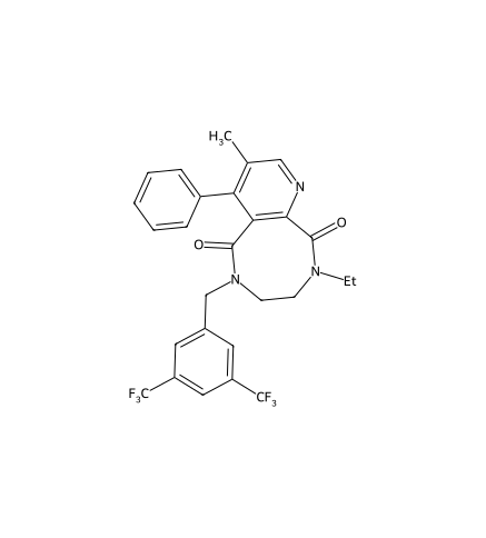 CCN1CCN(Cc2cc(C(F)(F)F)cc(C(F)(F)F)c2)C(=O)c2c(ncc(C)c2-c2ccccc2)C1=O